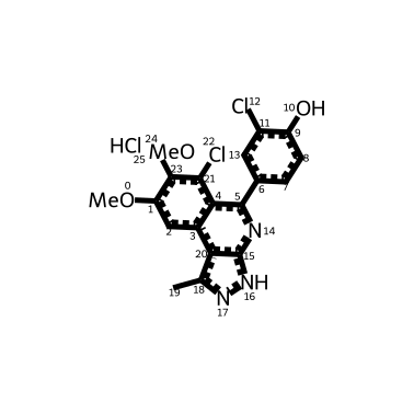 COc1cc2c(c(-c3ccc(O)c(Cl)c3)nc3[nH]nc(C)c32)c(Cl)c1OC.Cl